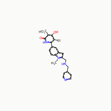 CCc1c(-c2ccc3c(c2)cc(CNCc2ccncc2)n3C)[nH]c(=O)c(C(=O)O)c1O